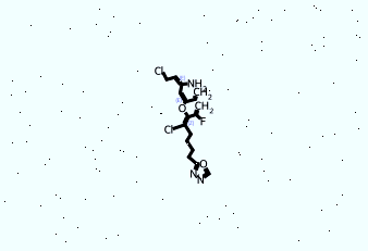 C=C/C(=C\C(N)=C/CCl)O/C(C(=C)F)=C(\Cl)CCCCc1nnco1